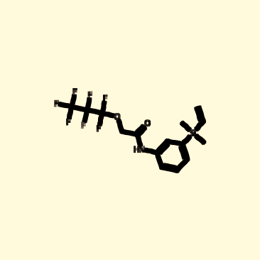 C=C[Si](C)(C)c1cccc(NC(=O)COC(F)(F)C(F)(F)C(F)(F)F)c1